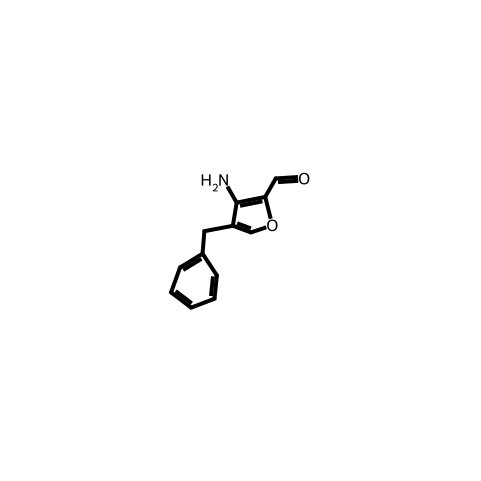 Nc1c(Cc2ccccc2)coc1C=O